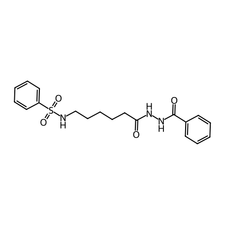 O=C(CCCCCNS(=O)(=O)c1ccccc1)NNC(=O)c1ccccc1